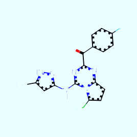 Cc1cc(Nc2nc(C(=O)c3ccc(F)cc3)nc3ccc(Cl)n23)n[nH]1